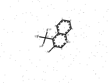 Cc1cnc2ccccc2c1C(F)(F)F